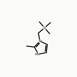 Cc1[nH]cc[n+]1C[Si](C)(C)C